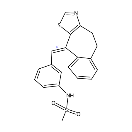 CS(=O)(=O)Nc1cccc(/C=C2\c3ccccc3CCc3ncsc32)c1